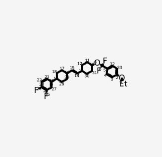 CCOc1ccc(C(F)(F)OC2CCC(/C=C/C3CCC(c4ccc(F)c(F)c4)CC3)CC2)cc1